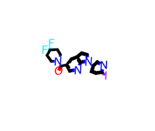 O=C(c1cnc2c(ccn2-c2ccc(I)nc2)c1)N1CCC(F)(F)CC1